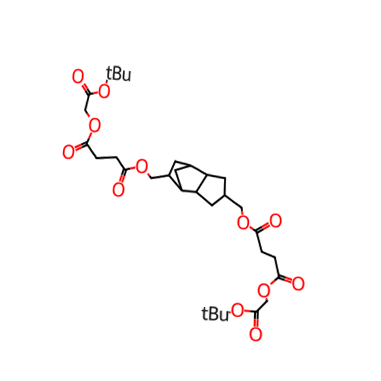 CC(C)(C)OC(=O)COC(=O)CCC(=O)OCC1CC2C3CC(COC(=O)CCC(=O)OCC(=O)OC(C)(C)C)C(C3)C2C1